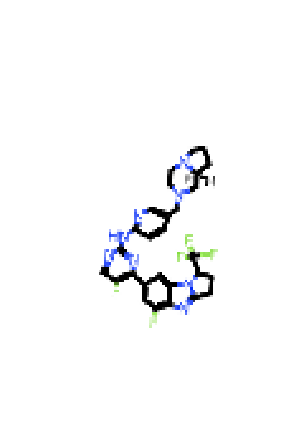 Fc1cnc(Nc2ccc(CN3CCN4CCC[C@@H]4C3)cn2)nc1-c1cc(F)c2nc3n(c2c1)C(C(F)(F)F)CC3